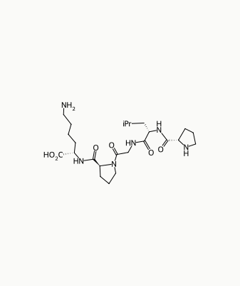 CC(C)C[C@H](NC(=O)[C@@H]1CCCN1)C(=O)NCC(=O)N1CCC[C@H]1C(=O)N[C@@H](CCCCN)C(=O)O